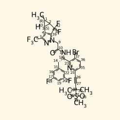 C[C@H]1C2[C@H]1c1c(C(F)(F)F)nn(CC(=O)N[C@@H](Cc3cc(F)cc(F)c3)c3nc(C#CC(C)(C)S(C)(=O)=O)ccc3Br)c1C2(F)F